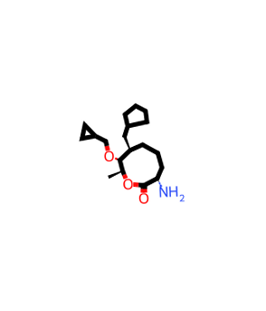 C[C@@H]1OC(=O)[C@@H](N)CCC[C@H](CC2CCCC2)[C@H]1OCC1CC1